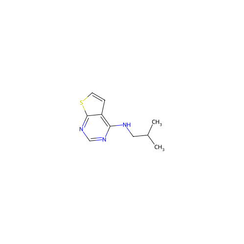 CC(C)CNc1ncnc2sccc12